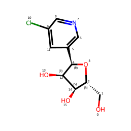 OC[C@H]1O[C@H](c2cncc(Cl)c2)[C@H](O)[C@@H]1O